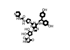 O=C(Nc1cccnc1)N[C@@H]1CCN(c2nc(NCC(c3ccc(O)cc3)c3ccc(O)cc3)c3ncn([C@@H]4C[C@H](N5C(=O)CNC5=O)[C@@H](O)[C@H]4O)c3n2)C1